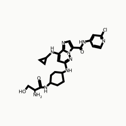 N[C@@H](CO)C(=O)NC1CCC(Nc2cc(NC3CC3)c3ncc(C(=O)Nc4ccnc(Cl)c4)n3n2)CC1